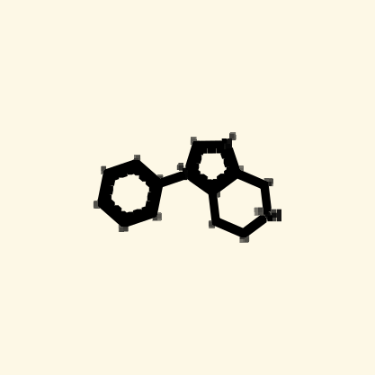 c1ccc(-n2cnc3c2CCNC3)cc1